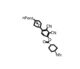 CCCCCC12CCC(c3ccc(OC(=O)[C@H]4CC[C@H](CCC)CC4)c(C#N)c3C#N)(CC1)CC2